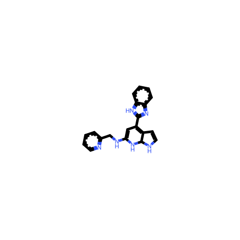 C1=CC2=C(c3nc4ccccc4[nH]3)C=C(NCc3ccccn3)NC2N1